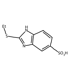 CCSc1nc2cc(S(=O)(=O)O)ccc2[nH]1